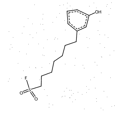 O=S(=O)(F)CCCCCCCc1cccc(O)c1